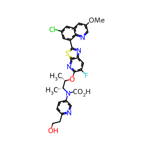 COc1cnc2c(-c3nc4cc(F)c(O[C@@H](C)[C@@H](C)N(C(=O)O)c5ccc(CCO)nc5)nc4s3)cc(Cl)cc2c1